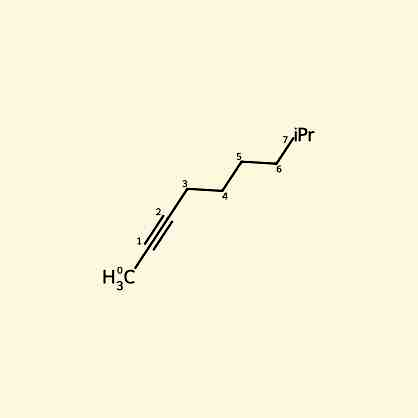 CC#CCCCCC(C)C